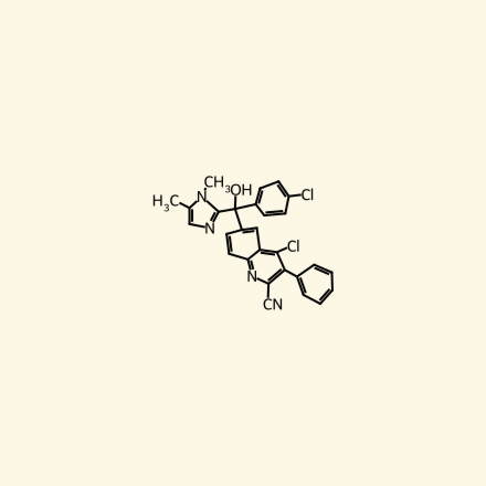 Cc1cnc(C(O)(c2ccc(Cl)cc2)c2ccc3nc(C#N)c(-c4ccccc4)c(Cl)c3c2)n1C